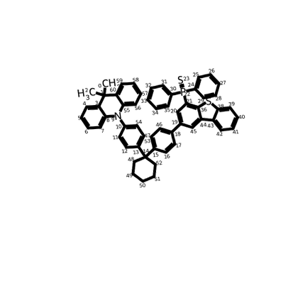 CC1(C)c2ccccc2N(c2ccc(C3(c4ccc(-c5cc(P(=S)(c6ccccc6)c6ccccc6)c6sc7ccccc7c6c5)cc4)CCCCC3)cc2)c2ccccc21